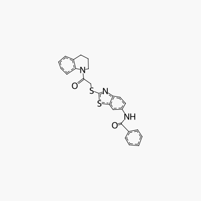 O=C(Nc1ccc2nc(SCC(=O)N3CCCc4ccccc43)sc2c1)c1ccccc1